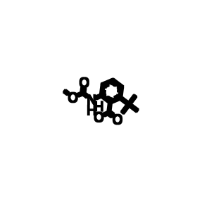 COC(=O)Nc1cccc(C(C)(C)C)c1C(=O)O